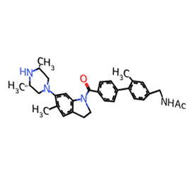 CC(=O)NCc1ccc(-c2ccc(C(=O)N3CCc4cc(C)c(N5C[C@@H](C)N[C@@H](C)C5)cc43)cc2)c(C)c1